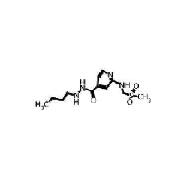 CCCCNNC(=O)c1ccnc(NCS(C)(=O)=O)c1